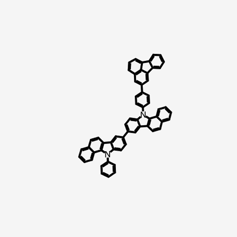 c1ccc(-n2c3ccc(-c4ccc5c(c4)c4ccc6ccccc6c4n5-c4ccc(-c5cc6c7c(cccc7c5)-c5ccccc5-6)cc4)cc3c3ccc4ccccc4c32)cc1